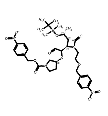 C[C@@H](O[Si](C)(C)C(C)(C)C)[C@@H]1C(=O)N(CCOCc2ccc([N+](=O)[O-])cc2)[C@H]1C(C=O)S[C@H]1CCN(C(=O)OCc2ccc([N+](=O)[O-])cc2)C1